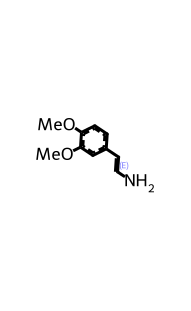 COc1ccc(/C=C/N)cc1OC